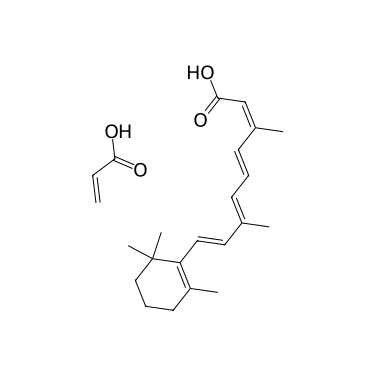 C=CC(=O)O.CC(C=CC1=C(C)CCCC1(C)C)=CC=C/C(C)=C\C(=O)O